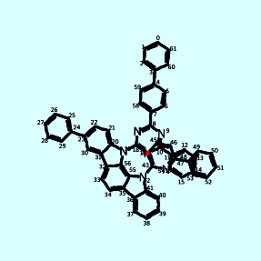 c1ccc(-c2ccc(-c3nc(-c4ccccc4)nc(-n4c5ccc(-c6ccccc6)cc5c5ccc6c7ccccc7n(-c7cccc(-c8ccccc8)n7)c6c54)n3)cc2)cc1